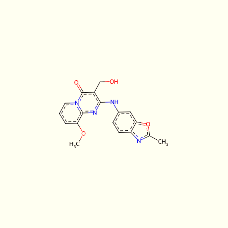 COc1cccn2c(=O)c(CO)c(Nc3ccc4nc(C)oc4c3)nc12